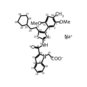 COc1cc(-c2nc(NC(=O)c3cc4ccccc4n3CC(=O)[O-])sc2CCC2CCCCC2)c(OC)cc1C.[Na+]